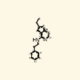 CCc1cc2c(NCCc3ccccc3)ncnc2s1